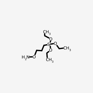 CCO[Si](CCCON)(OCC)OCC